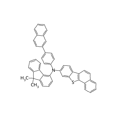 CC1(C)c2ccccc2-c2c(N(c3ccc(-c4ccc5ccccc5c4)cc3)c3ccc4c(c3)sc3c5ccccc5ccc43)cccc21